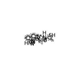 CCNC(=O)N(CCNC(=O)C(CS)CC(C)C)Cc1ccc(-c2ccccc2-c2nnn[nH]2)cc1